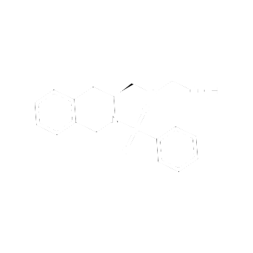 O=C(O)COC[C@@H]1Cc2ccccc2CN1S(=O)(=O)c1ccccc1